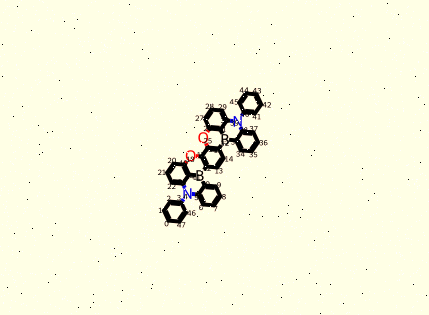 c1ccc(N2c3ccccc3B3c4ccc5c(c4Oc4cccc2c43)Oc2cccc3c2B5c2ccccc2N3c2ccccc2)cc1